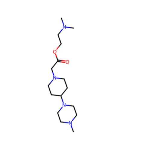 CN(C)CCOC(=O)CN1CCC(N2CCN(C)CC2)CC1